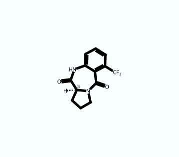 O=C1Nc2cccc(C(F)(F)F)c2C(=O)N2CCC[C@@H]12